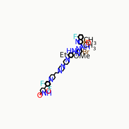 CCc1cc(Nc2ncc(Br)c(Nc3cnc4c(F)cccc4c3P(C)(C)=O)n2)c(OC)cc1N1CCC(N2CCN(CCC3CCN(c4cc(F)c(C5CCC(=O)NC5=O)c(F)c4)CC3)CC2)CC1